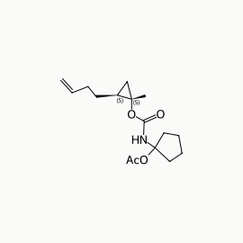 C=CCC[C@H]1C[C@]1(C)OC(=O)NC1(OC(C)=O)CCCC1